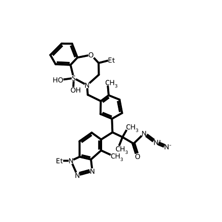 CCC1CN(Cc2cc(C(c3ccc4c(nnn4CC)c3C)C(C)(C)C(=O)N=[N+]=[N-])ccc2C)S(O)(O)c2ccccc2O1